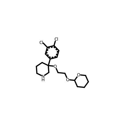 Clc1ccc(C2(OCCOC3CCCCO3)CCCNC2)cc1Cl